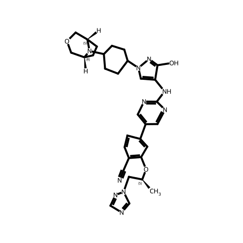 C[C@@H](Cn1cncn1)Oc1cc(-c2cnc(Nc3cn(C4CCC(N5[C@@H]6CC[C@H]5COC6)CC4)nc3O)nc2)ccc1C#N